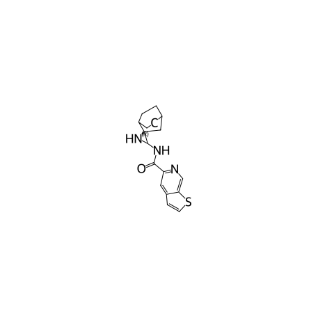 O=C(NC1N[C@@]12CC1CCC2CC1)c1cc2ccsc2cn1